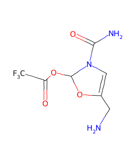 NCC1=CN(C(N)=O)C(OC(=O)C(F)(F)F)O1